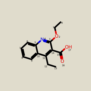 CCOc1nc2ccccc2c(CC)c1C(=O)O